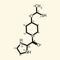 CC(S)OC1CCN(C(=O)C2NCCN2)CC1